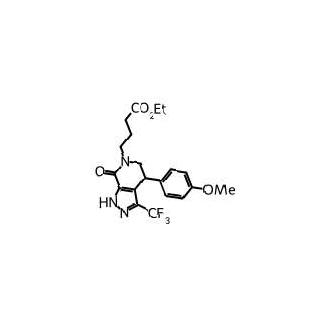 CCOC(=O)CCCN1CC(c2ccc(OC)cc2)c2c(C(F)(F)F)n[nH]c2C1=O